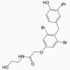 CC(C)c1cc(Cc2c(Br)cc(OCC(=O)NCCO)cc2Br)ccc1O